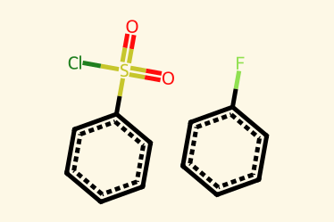 Fc1ccccc1.O=S(=O)(Cl)c1ccccc1